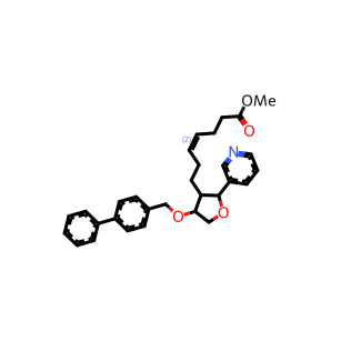 COC(=O)CC/C=C\CCC1C(OCc2ccc(-c3ccccc3)cc2)COC1c1cccnc1